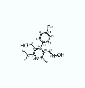 Cc1nc(C(C)C)c(CO)c(-c2ccc(F)cc2)c1C=NO